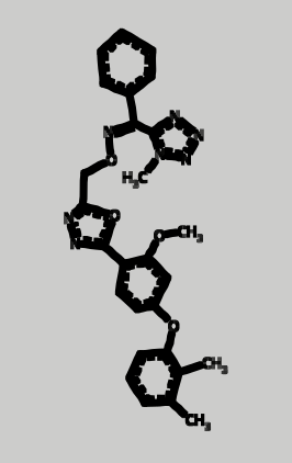 COc1cc(Oc2cccc(C)c2C)ccc1-c1nnc(CO/N=C(/c2ccccc2)c2nnnn2C)o1